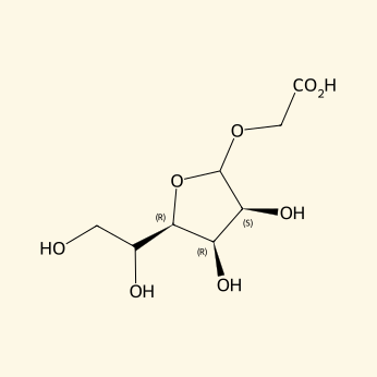 O=C(O)COC1O[C@H](C(O)CO)[C@H](O)[C@@H]1O